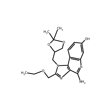 CCOCc1nc2c(N)nc3cc(O)ccc3c2n1CC1COC(C)(C)O1